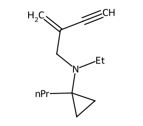 C#CC(=C)CN(CC)C1(CCC)CC1